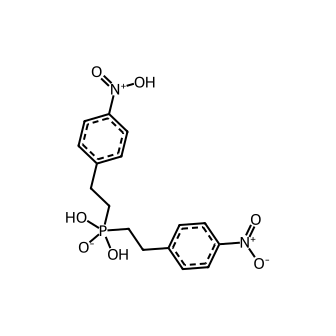 O=[N+]([O-])c1ccc(CCP([O-])(O)(O)CCc2ccc([N+](=O)O)cc2)cc1